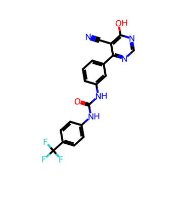 N#Cc1c(O)ncnc1-c1cccc(NC(=O)Nc2ccc(C(F)(F)F)cc2)c1